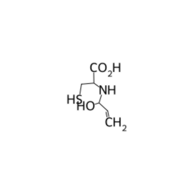 C=CC(O)NC(CS)C(=O)O